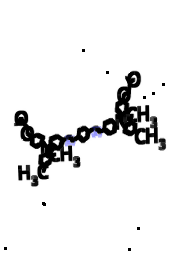 Cc1ccc(N(c2ccc(/C=C/c3ccc(/C=C/c4ccc(N(c5ccc(OCC6CO6)cc5)c5ccc(C)cc5C)cc4)cc3)cc2)c2ccc(OCC3CO3)cc2)c(C)c1